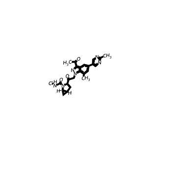 CC(=O)c1nn(CC(=O)C2C[C@@H]3C[C@H]3N2C(=O)NCl)c2c(C)cc(-c3cnc(C)nc3)cc12